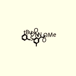 COC(=O)c1nn(C(=O)OC(C)(C)C)c2c(SCc3ccccc3)cc(C)cc12